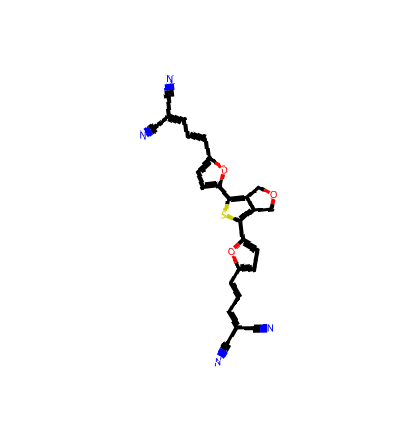 N#CC(C#N)=C/C=C/c1ccc(-c2sc(-c3ccc(/C=C/C=C(C#N)C#N)o3)c3c2COC3)o1